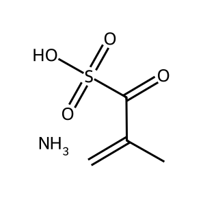 C=C(C)C(=O)S(=O)(=O)O.N